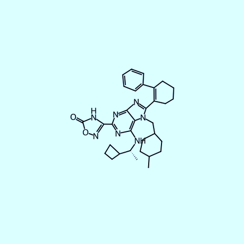 CC1CCC(Cn2c(C3=C(c4ccccc4)CCCC3)nc3nc(-c4noc(=O)[nH]4)nc(N[C@H](C)C4CCC4)c32)CC1